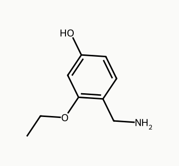 CCOc1cc(O)ccc1CN